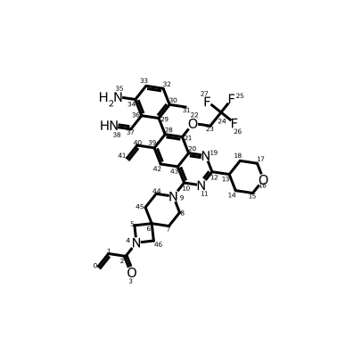 C=CC(=O)N1CC2(CCN(c3nc(C4CCOCC4)nc4c(OCC(F)(F)F)c(-c5c(C)ccc(N)c5C=N)c(C=C)cc34)CC2)C1